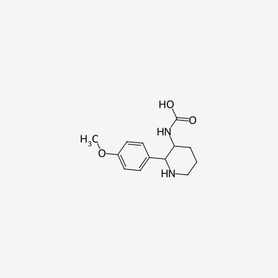 COc1ccc(C2NCCCC2NC(=O)O)cc1